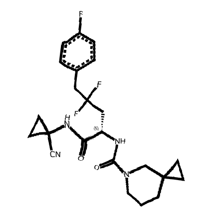 N#CC1(NC(=O)[C@H](CC(F)(F)Cc2ccc(F)cc2)NC(=O)N2CCCC3(CC3)C2)CC1